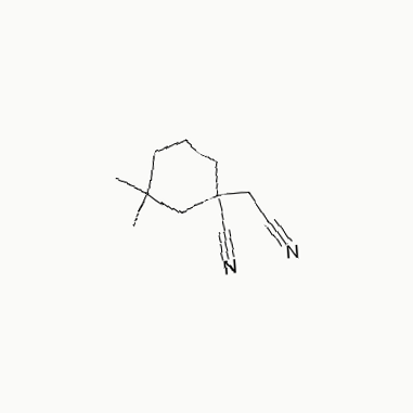 CC1(C)CCCC(C#N)(CC#N)C1